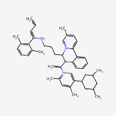 C=C/C=C(\NCCCC1C(C(=C)[n+]2cc(C3CC(C)CC(C)C3)c(C)cc2C)c2ccccc2-c2ccc(C)c[n+]21)c1c(C)cccc1C